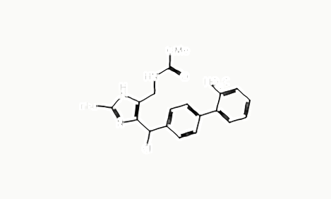 CCCCc1nc(C(Cl)c2ccc(-c3ccccc3C(=O)O)cc2)c(CNC(=O)OC)[nH]1